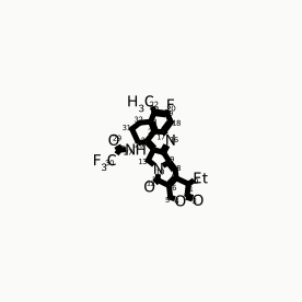 CCC1C(=O)OCc2c1cc1n(c2=O)Cc2c-1nc1cc(F)c(C)c3c1c2C(NC(=O)C(F)(F)F)CC3